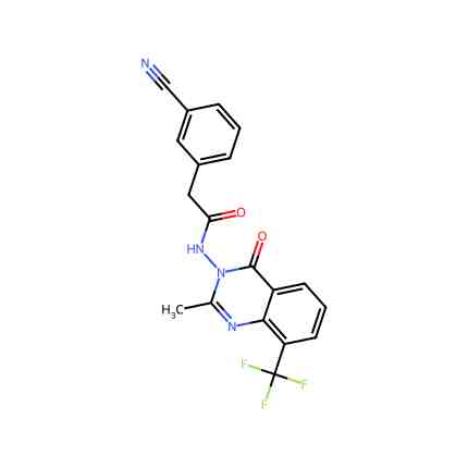 Cc1nc2c(C(F)(F)F)cccc2c(=O)n1NC(=O)Cc1cccc(C#N)c1